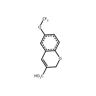 O=C(O)C1=Cc2cc(OC(F)(F)F)ccc2OC1